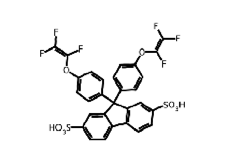 O=S(=O)(O)c1ccc2c(c1)C(c1ccc(OC(F)=C(F)F)cc1)(c1ccc(OC(F)=C(F)F)cc1)c1cc(S(=O)(=O)O)ccc1-2